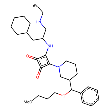 COCCCOC(c1ccccc1)C1CCCN(c2c(NC(CNCC(C)C)CC3CCCCC3)c(=O)c2=O)C1